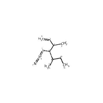 C=CC(C)C(N=[N+]=[N-])C(C)CC